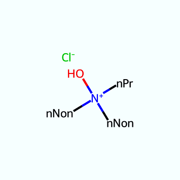 CCCCCCCCC[N+](O)(CCC)CCCCCCCCC.[Cl-]